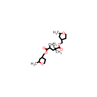 CC1CC(COC(=O)C(C)CC(C)(C)C(=O)OCC2CCOC(C)C2)CCO1